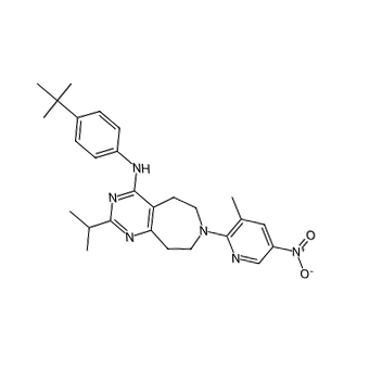 Cc1cc([N+](=O)[O-])cnc1N1CCc2nc(C(C)C)nc(Nc3ccc(C(C)(C)C)cc3)c2CC1